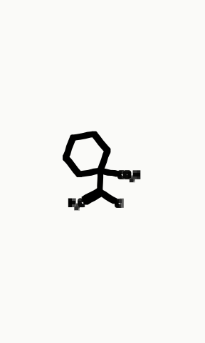 C=C(Cl)C1(C(=O)O)CCCCC1